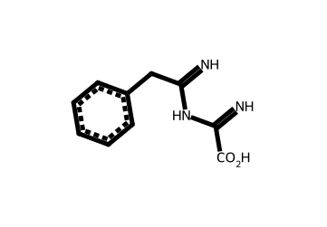 N=C(Cc1ccccc1)NC(=N)C(=O)O